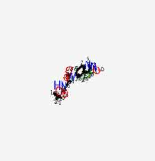 CON=C1N(C)c2ccc(N3CC(CNC(=O)OC(C)(C)C)OC3=O)cc2C1(F)F